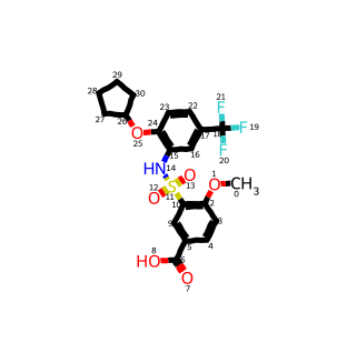 COc1ccc(C(=O)O)cc1S(=O)(=O)Nc1cc(C(F)(F)F)ccc1OC1CCCC1